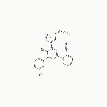 C=C/C(=C\C=C/C)n1cc(-c2ccccc2C#N)cc(-c2cccc(Cl)c2)c1=O